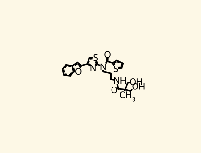 CC(CO)(CO)C(=O)NCCCN(C(=O)c1cccs1)c1nc(-c2cc3ccccc3o2)cs1